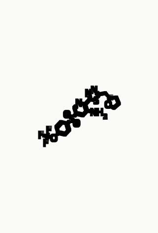 Nc1cc(S(=O)(=O)c2ccc(OC(F)(F)F)cc2)cnc1-c1nnc(C[C@H]2CCCO2)s1